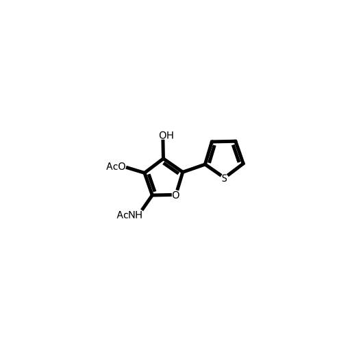 CC(=O)Nc1oc(-c2cccs2)c(O)c1OC(C)=O